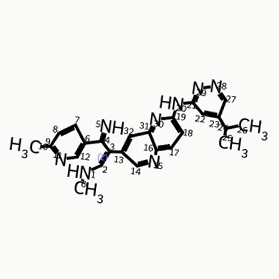 CN/C=C(\C(=N)c1ccc(C)nc1)c1cnc2ccc(Nc3cc(C(C)C)cnn3)nc2c1